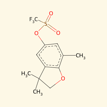 Cc1cc(OS(=O)(=O)C(F)(F)F)cc2c1OCC2(C)C